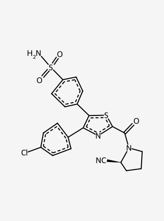 N#C[C@@H]1CCCN1C(=O)c1nc(-c2ccc(Cl)cc2)c(-c2ccc(S(N)(=O)=O)cc2)s1